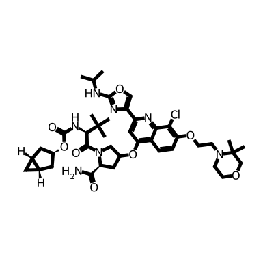 CC(C)Nc1nc(-c2cc(OC3C[C@@H](C(N)=O)N(C(=O)[C@@H](NC(=O)O[C@@H]4C[C@@H]5C[C@@H]5C4)C(C)(C)C)C3)c3ccc(OCCN4CCOCC4(C)C)c(Cl)c3n2)co1